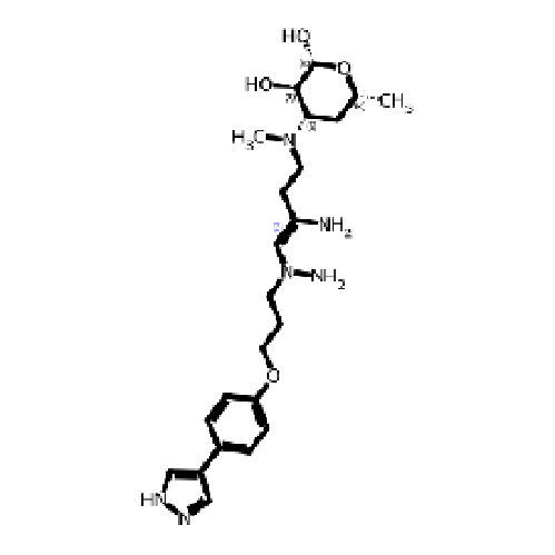 C[C@@H]1C[C@H](N(C)CC/C(N)=C/N(N)CCCOc2ccc(-c3cn[nH]c3)cc2)[C@@H](O)[C@H](O)O1